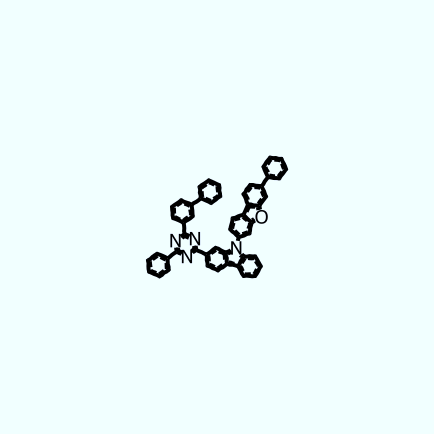 c1ccc(-c2cccc(-c3nc(-c4ccccc4)nc(-c4ccc5c6ccccc6n(-c6ccc7c(c6)oc6cc(-c8ccccc8)ccc67)c5c4)n3)c2)cc1